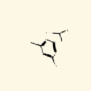 CC(C)N.Nc1cc(Cl)ncn1